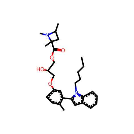 CCCCCn1c(-c2cc(OCC(O)COC(=O)C3(C)CC(C)N3C)ccc2C)cc2ccccc21